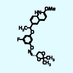 COC1=CC=C2C=C(C(C)Oc3cc(F)cc(O/N=C\[C@@H]4COC(C)(C)O4)c3)C=CC2N1